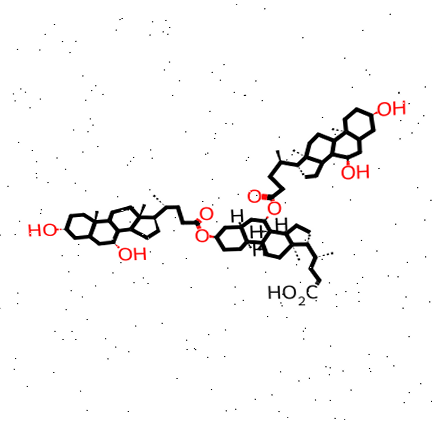 C[C@H](CCC(=O)O)[C@H]1CC[C@H]2[C@@H]3[C@@H](OC(=O)CC[C@@H](C)[C@H]4CCC5C6C(CC[C@@]54C)[C@@]4(C)CC[C@H](O)CC4C[C@H]6O)C[C@@H]4C[C@H](OC(=O)CC[C@@H](C)[C@H]5CCC6C7C(CC[C@@]65C)[C@@]5(C)CC[C@@H](O)CC5C[C@H]7O)CC[C@]4(C)[C@H]3CC[C@]12C